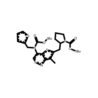 Cc1c(CC2CCCN2C(=O)OC(C)(C)C)sc2c(N(Cc3cccs3)C(=O)OC(C)(C)C)cnnc12